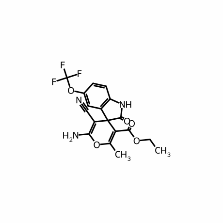 CCOC(=O)C1=C(C)OC(N)=C(C#N)C12C(=O)Nc1ccc(OC(F)(F)F)cc12